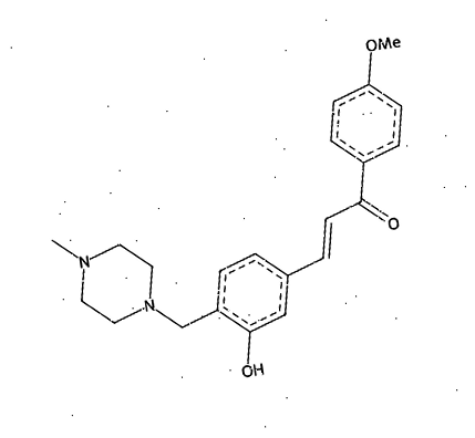 COc1ccc(C(=O)C=Cc2ccc(CN3CCN(C)CC3)c(O)c2)cc1